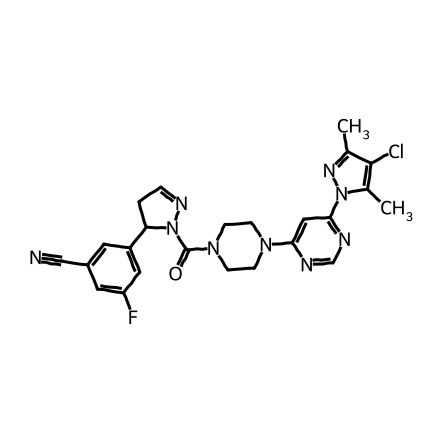 Cc1nn(-c2cc(N3CCN(C(=O)N4N=CCC4c4cc(F)cc(C#N)c4)CC3)ncn2)c(C)c1Cl